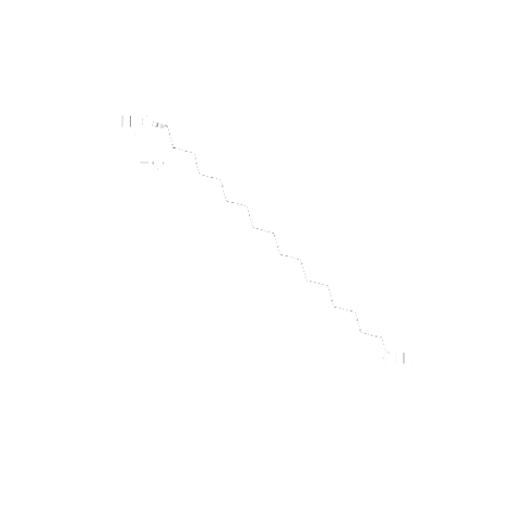 C=CC(O)CCCCCCCCCCCCCCCC